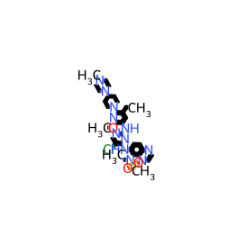 CCc1cc(Nc2ncc(Cl)c(Nc3ccc4nccnc4c3N(CC)S(C)(=O)=O)n2)c(OC)nc1N1CCC(N2CCN(C)CC2)CC1